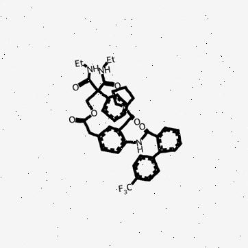 CCNC(=O)C(COC(=O)Cc1ccc(NC(=O)c2ccccc2-c2ccc(C(F)(F)F)cc2)c(C(=O)N2CCCC2)c1)(C(=O)NCC)c1ccccc1